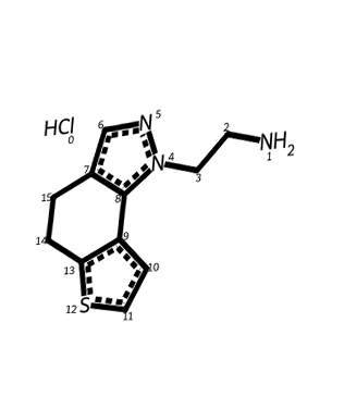 Cl.NCCn1ncc2c1-c1ccsc1CC2